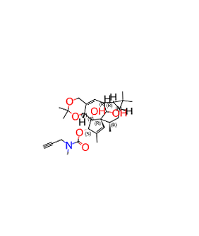 C#CCN(C)C(=O)O[C@H]1C(C)=C[C@]23C(O)[C@@H](C=C4COC(C)(C)O[C@H]4[C@]12O)[C@H]1[C@@H](C[C@H]3C)C1(C)C